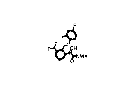 CCc1ccc(OCc2c(C(F)F)cccc2N(O)C(=O)NC)c(C)c1